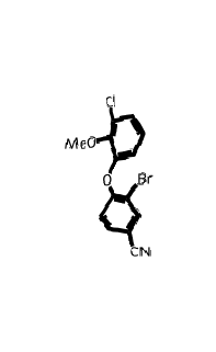 COc1c(Cl)cccc1Oc1ccc(C#N)cc1Br